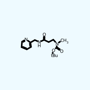 CN(CCC(=O)NCc1ccccn1)C(=O)OC(C)(C)C